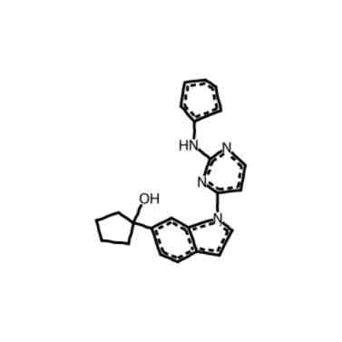 OC1(c2ccc3ccn(-c4ccnc(Nc5ccccc5)n4)c3c2)CCCC1